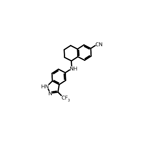 N#Cc1ccc2c(c1)CCCC2Nc1ccc2[nH]nc(C(F)(F)F)c2c1